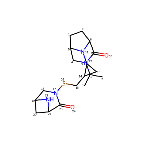 CC(C)N1CC2CCC(C1=O)N2C1CC1CSN1CC2CC(N2)C1=O